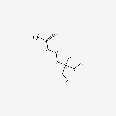 CCC(C)(CC)CCCC(N)=O